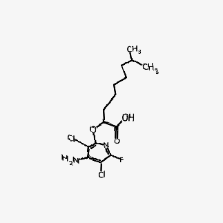 CC(C)CCCCCC(Oc1nc(F)c(Cl)c(N)c1Cl)C(=O)O